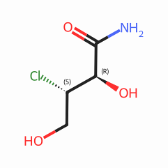 NC(=O)[C@@H](O)[C@@H](Cl)CO